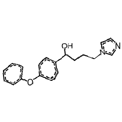 OC(CCCn1ccnc1)c1ccc(Oc2ccccc2)cc1